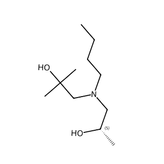 CCCCN(C[C@H](C)O)CC(C)(C)O